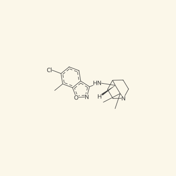 Cc1c(Cl)ccc2c(N[C@@H]3C4CCN(CC4)C3(C)C)noc12